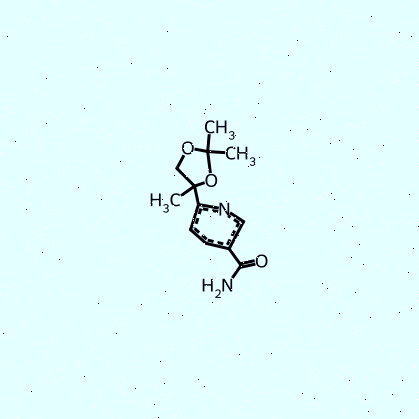 CC1(C)OCC(C)(c2ccc(C(N)=O)cn2)O1